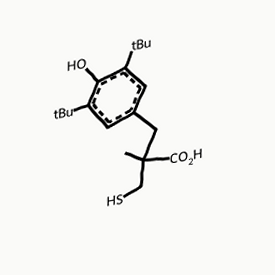 CC(CS)(Cc1cc(C(C)(C)C)c(O)c(C(C)(C)C)c1)C(=O)O